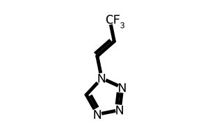 FC(F)(F)C=Cn1cnnn1